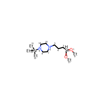 CCO[SiH](CCCN1CCN([Si](CC)(CC)CC)CC1)OCC